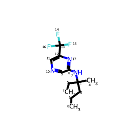 CCCC(C)(CC)Nc1cncc(C(F)(F)F)n1